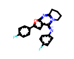 Fc1ccc(/N=c2\c3cc(-c4ccc(F)cc4)oc3nc3n2CCCC3)cc1